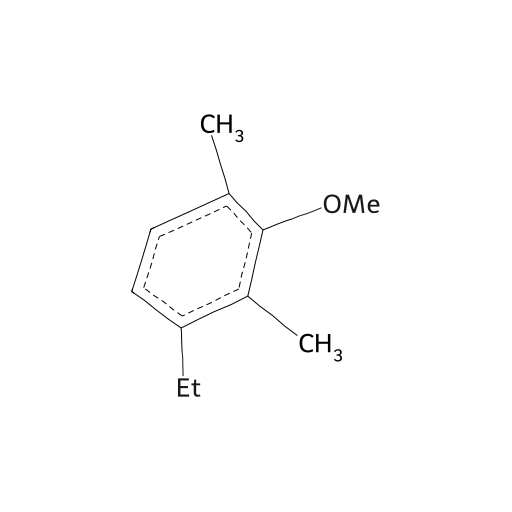 CCc1ccc(C)c(OC)c1C